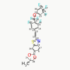 CC1COC(c2ccc3nc(C#Cc4cc(F)c(C(F)(F)Oc5cc(F)c(F)c(F)c5)c(F)c4)sc3c2)OC1